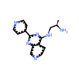 C[C@@H](N)CNc1nc(-c2ccncc2)nc2cnccc12